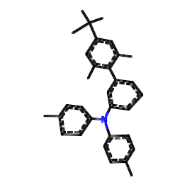 Cc1ccc(N(c2ccc(C)cc2)c2cccc(-c3c(C)cc(C(C)(C)C)cc3C)c2)cc1